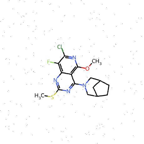 COc1nc(Cl)c(F)c2nc(SC)nc(N3CC4CCC(C4)C3)c12